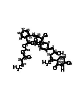 C=C(/C=C(\C=C/CC=O)CNC(=O)C#Cc1ccccc1C(=O)OCOC(=O)CCC)CN(C)C1CCC(=O)NC1=O